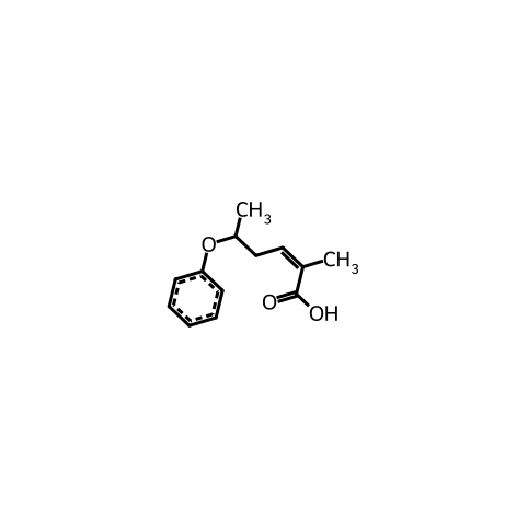 CC(=CCC(C)Oc1ccccc1)C(=O)O